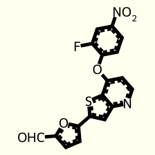 O=Cc1ccc(-c2cc3nccc(Oc4ccc([N+](=O)[O-])cc4F)c3s2)o1